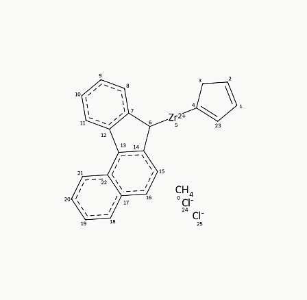 C.C1=CC[C]([Zr+2][CH]2c3ccccc3-c3c2ccc2ccccc32)=C1.[Cl-].[Cl-]